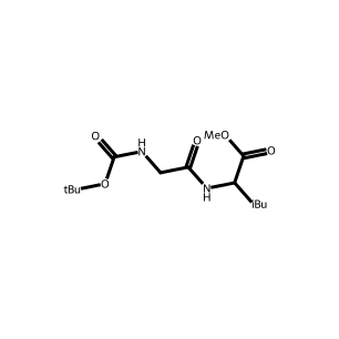 CCC(C)C(NC(=O)CNC(=O)OC(C)(C)C)C(=O)OC